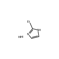 CCc1ncc[nH]1.I.I